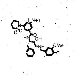 CCNc1cc(C(=O)N[C@@H](Cc2ccccc2)[C@H](O)CNCc2ccc(F)c(OC)c2)cc(N2CCCCS2(=O)=O)c1